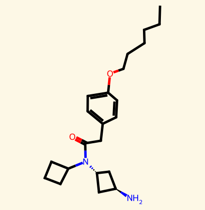 CCCCCCOc1ccc(CC(=O)N(C2CCC2)[C@H]2C[C@H](N)C2)cc1